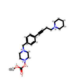 CC(C)(C)OC(=O)ON1CCN(Cc2ccc(C#CCCN3CCCCC3)cc2)CC1